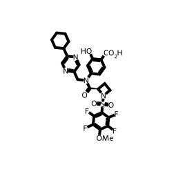 COc1c(F)c(F)c(S(=O)(=O)N2CC[C@@H]2C(=O)N(Cc2cnc(C3CCCCC3)cn2)c2ccc(C(=O)O)c(O)c2)c(F)c1F